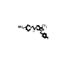 Cc1nn(Cc2ccc(F)cc2)c2c1CCN(C(=O)CN1CCCC(C(=O)O)CC1)C2